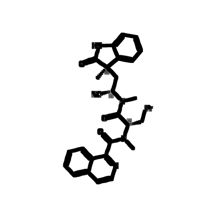 CC(C)C[C@@H](C(=O)N(C)[C@H](C#N)C[C@@]1(C)C(=O)Nc2ccccc21)N(C)C(=O)c1nccc2ccccc12